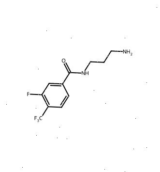 NCCCNC(=O)c1ccc(C(F)(F)F)c(F)c1